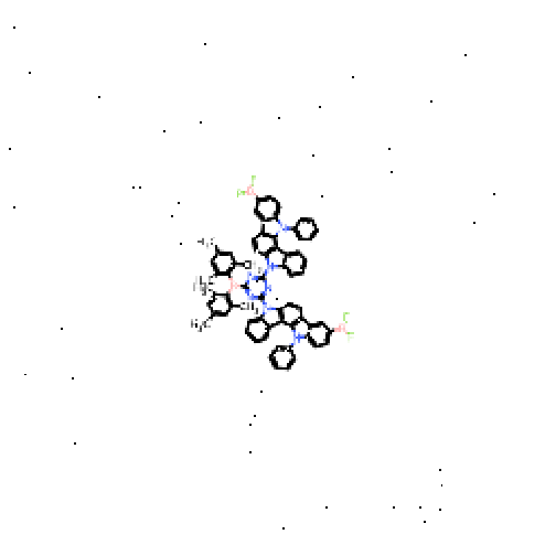 Cc1cc(C)c(B(c2nc(-n3c4ccccc4c4c3ccc3c5cc(B(F)F)ccc5n(-c5ccccc5)c34)nc(-n3c4ccccc4c4c3ccc3c5cc(B(F)F)ccc5n(-c5ccccc5)c34)n2)c2c(C)cc(C)cc2C)c(C)c1